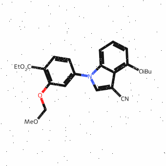 CCOC(=O)c1ccc(-n2cc(C#N)c3c(OCC(C)C)cccc32)cc1OCOC